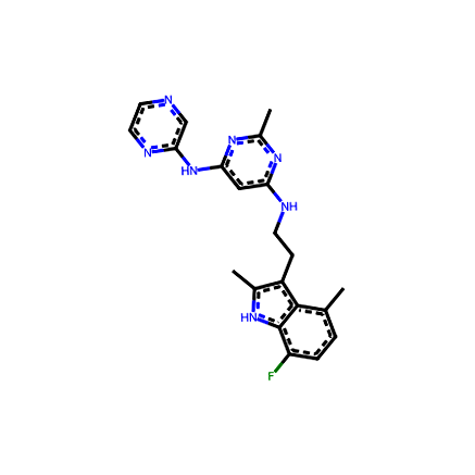 Cc1nc(NCCc2c(C)[nH]c3c(F)ccc(C)c23)cc(Nc2cnccn2)n1